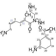 C/C(=C\C=C/CN)C(=O)N(CCN)NO[C@@H](C)C1=CCCC(N)=C1